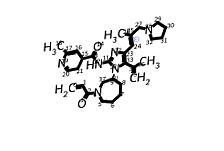 C=CC(=O)N1CCCC[C@@H](n2c(NC(=O)C3C=C(C)N=CC3)nc(/C=C(\C)CN3CCCC3)c2C(=C)C)C1